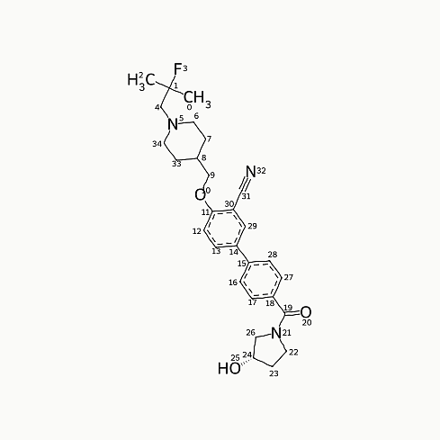 CC(C)(F)CN1CCC(COc2ccc(-c3ccc(C(=O)N4CC[C@H](O)C4)cc3)cc2C#N)CC1